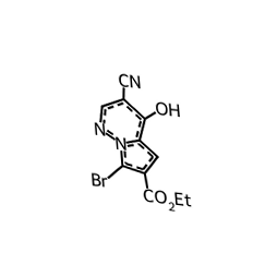 CCOC(=O)c1cc2c(O)c(C#N)cnn2c1Br